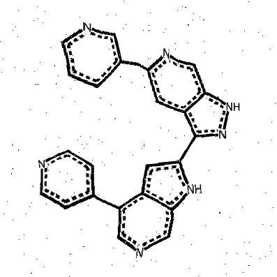 c1cncc(-c2cc3c(-c4cc5c(-c6ccncc6)cncc5[nH]4)n[nH]c3cn2)c1